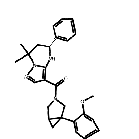 COc1ccccc1C12CC1CN(C(=O)c1cnn3c1N[C@@H](c1ccccc1)CC3(C)C)C2